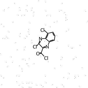 O=C(Cl)c1nc2cccc(Cl)c2nc1Cl